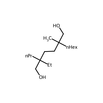 CCCCCCC(C)(CO)CCC(CC)(CO)CCC